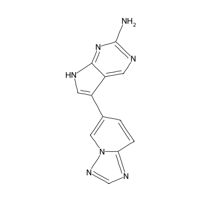 Nc1ncc2c(-c3ccc4ncnn4c3)c[nH]c2n1